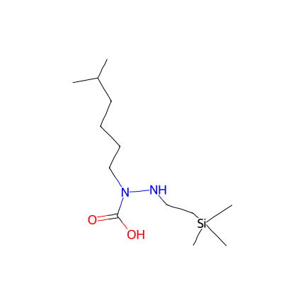 CC(C)CCCCN(NCC[Si](C)(C)C)C(=O)O